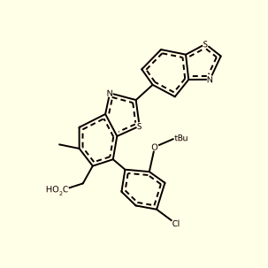 Cc1cc2nc(-c3ccc4scnc4c3)sc2c(-c2ccc(Cl)cc2OC(C)(C)C)c1CC(=O)O